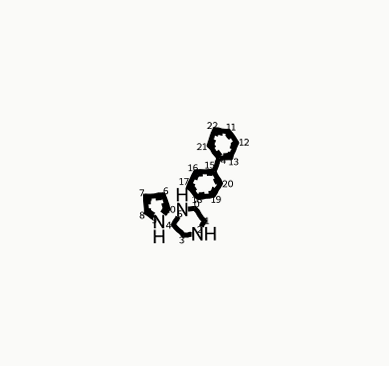 C1CNCCN1.c1cc[nH]c1.c1ccc(-c2ccccc2)cc1